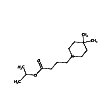 CC(C)OC(=O)CCCN1CCC(C)(C)CC1